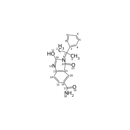 CC(C)(c1ccccc1)n1c(O)nc2ccc(C(N)=O)cc2c1=O